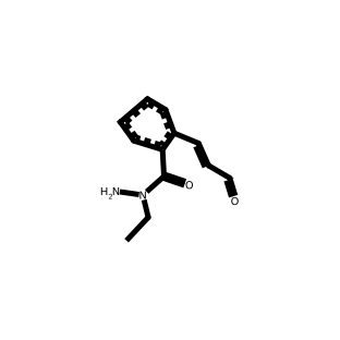 CCN(N)C(=O)c1ccccc1/C=C/[C]=O